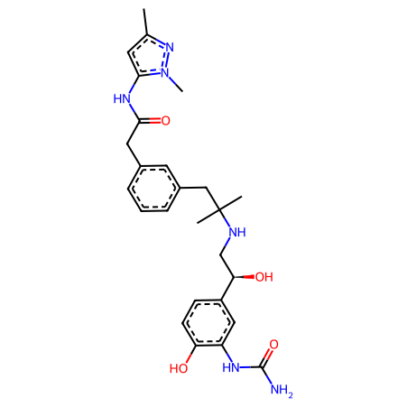 Cc1cc(NC(=O)Cc2cccc(CC(C)(C)NC[C@@H](O)c3ccc(O)c(NC(N)=O)c3)c2)n(C)n1